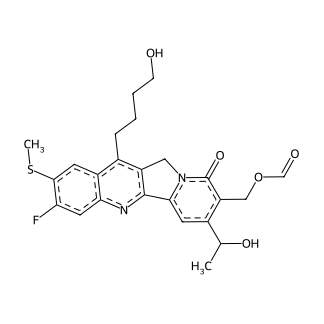 CSc1cc2c(CCCCO)c3c(nc2cc1F)-c1cc(C(C)O)c(COC=O)c(=O)n1C3